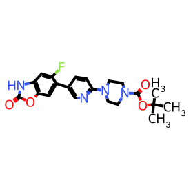 CC(C)(C)OC(=O)N1CCN(c2ccc(-c3cc4oc(=O)[nH]c4cc3F)cn2)CC1